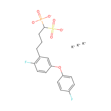 O=P([O-])([O-])C(CCCc1cc(Oc2ccc(F)cc2)ccc1F)S(=O)(=O)[O-].[K+].[K+].[K+]